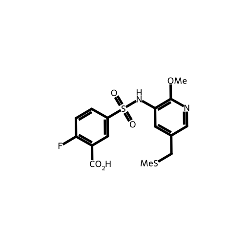 COc1ncc(CSC)cc1NS(=O)(=O)c1ccc(F)c(C(=O)O)c1